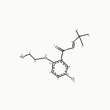 CC(C)(C)C=CC(=O)c1cc(Cl)ccc1OCCO